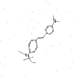 CCC(C)(C)N(C)c1ccc(/C=C/c2ccc(N(C)C)cc2)cc1